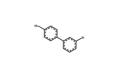 CC(C)(C)c1ccc(-c2cccc(Br)c2)cc1